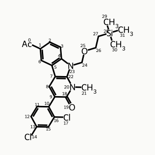 CC(=O)c1ccc2c(c1)c1cc(-c3ccc(Cl)cc3Cl)c(=O)n(C)c1n2COCC[Si](C)(C)C